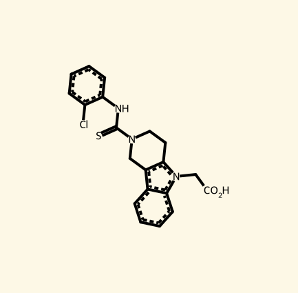 O=C(O)Cn1c2c(c3ccccc31)CN(C(=S)Nc1ccccc1Cl)CC2